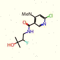 CNc1cc(Cl)ncc1C(=O)NCC(F)C(C)(C)O